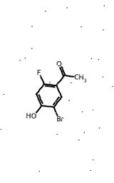 CC(=O)c1cc(Br)c(O)cc1F